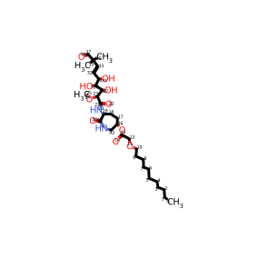 CCCCCCCCCCCOCC(=O)OC1CCC(NC(=O)C(OC)C(O)C(O)C(O)C=CC(C)(C)C=O)C(=O)NC1